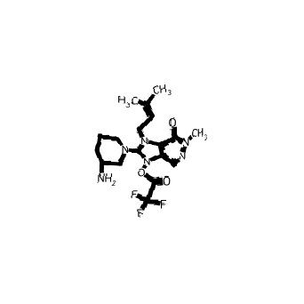 CC(C)=CCN1c2c(cnn(C)c2=O)N(OC(=O)C(F)(F)F)C1N1CCCC(N)C1